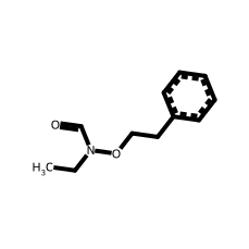 CCN(C=O)OCCc1ccccc1